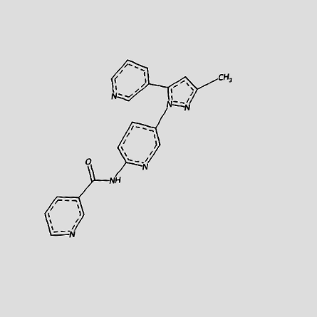 Cc1cc(-c2cccnc2)n(-c2ccc(NC(=O)c3cccnc3)nc2)n1